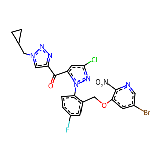 O=C(c1cn(CC2CC2)nn1)c1cc(Cl)nn1-c1ccc(F)cc1COc1cc(Br)cnc1[N+](=O)[O-]